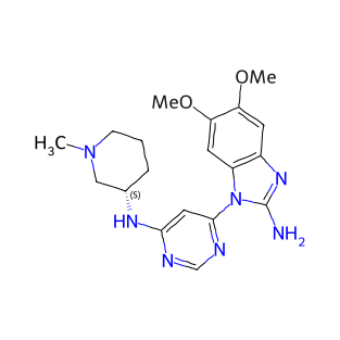 COc1cc2nc(N)n(-c3cc(N[C@H]4CCCN(C)C4)ncn3)c2cc1OC